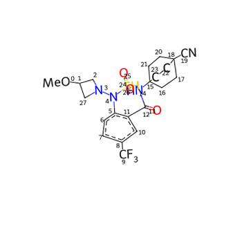 COC1CN(N(c2ccc(C(F)(F)F)cc2C(=O)NC23CCC(C#N)(CC2)CC3)[SH](=O)=O)C1